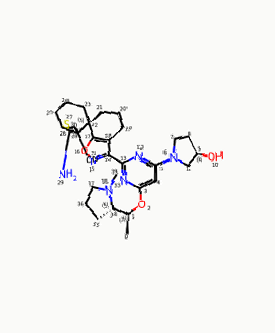 C[C@H](Oc1cc(N2CC[C@@H](O)C2)nc(-c2noc3c2CCC[C@@]32CCCc3sc(N)c(C#N)c32)n1)[C@@H]1CCCN1C